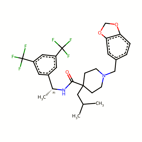 CC(C)CC1(C(=O)N[C@H](C)c2cc(C(F)(F)F)cc(C(F)(F)F)c2)CCN(Cc2ccc3c(c2)OCO3)CC1